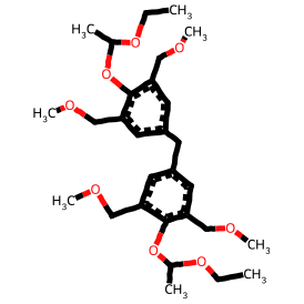 CCOC(C)Oc1c(COC)cc(Cc2cc(COC)c(OC(C)OCC)c(COC)c2)cc1COC